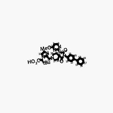 COc1ccnc(N2C(=O)N(c3ccc(-c4ccccc4)cc3)C(=O)C23CCN(Cc2nccn2C(C(=O)O)C(C)(C)C)CC3)n1